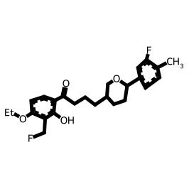 CCOc1ccc(C(=O)CCCC2CCC(c3ccc(C)c(F)c3)OC2)c(O)c1CF